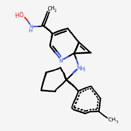 C=C(NO)C1=CC2=CC2(NC2(c3ccc(C)cc3)CCCC2)N=C1